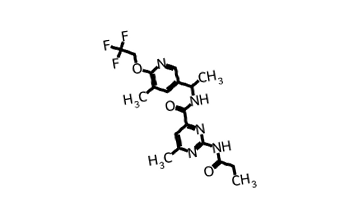 CCC(=O)Nc1nc(C)cc(C(=O)NC(C)c2cnc(OCC(F)(F)F)c(C)c2)n1